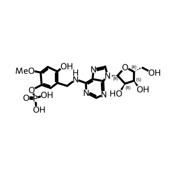 COc1cc(O)c(CNc2ncnc3c2ncn3[C@@H]2O[C@H](CO)[C@@H](O)[C@H]2O)cc1OP(=O)(O)O